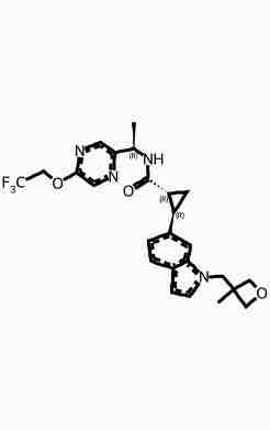 C[C@@H](NC(=O)[C@@H]1C[C@H]1c1ccc2ccn(CC3(C)COC3)c2c1)c1cnc(OCC(F)(F)F)cn1